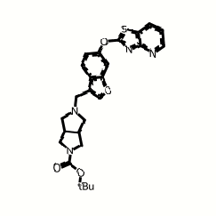 CC(C)(C)OC(=O)N1CC2CN(Cc3coc4cc(Oc5nc6ncccc6s5)ccc34)CC2C1